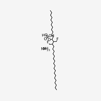 CCCCCCCCCCCCCCCCCCCC(CF)C(CF)C(CCCCCCCCCCCC)OP(=O)(O)O.N.N